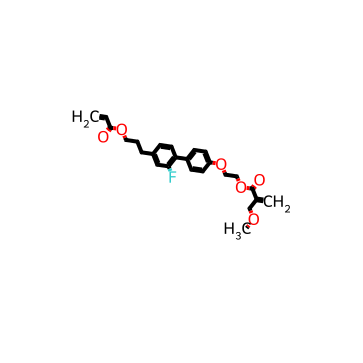 C=CC(=O)OCCCc1ccc(-c2ccc(OCCOC(=O)C(=C)COC)cc2)c(F)c1